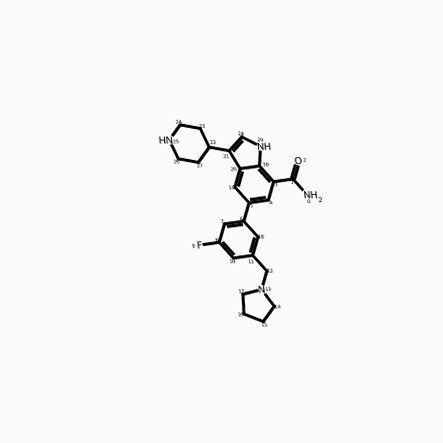 NC(=O)c1cc(-c2cc(F)cc(CN3CCCC3)c2)cc2c(C3CCNCC3)c[nH]c12